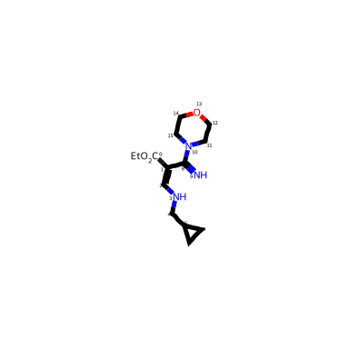 CCOC(=O)/C(=C/NCC1CC1)C(=N)N1CCOCC1